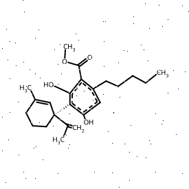 C=C(C)[C@]1(c2c(O)cc(CCCCC)c(C(=O)OC)c2O)C=C(C)CCC1